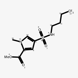 COC(=O)c1cc(S(=O)(=O)NCCCC(F)(F)F)cn1C